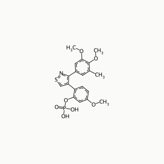 COc1ccc(-c2csnc2-c2cc(C)c(OC)c(OC)c2)c(OP(=O)(O)O)c1